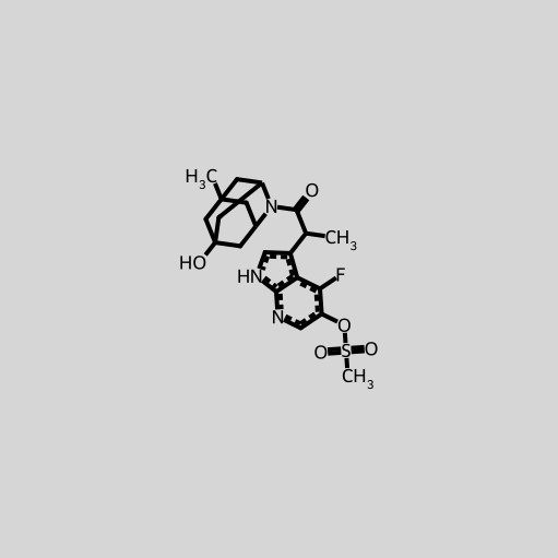 CC(C(=O)N1C2CC3(C)CC1CC(O)(C2)C3)c1c[nH]c2ncc(OS(C)(=O)=O)c(F)c12